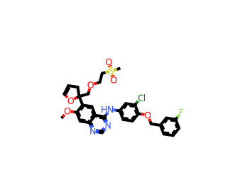 COc1cc2ncnc(Nc3ccc(OCc4cccc(F)c4)c(Cl)c3)c2cc1C1(COCCS(C)(=O)=O)CC=CO1